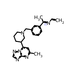 C=C/N=C(\C)c1cccc(CN2CCCC(c3cc(C)nc4ncnn34)C2)c1